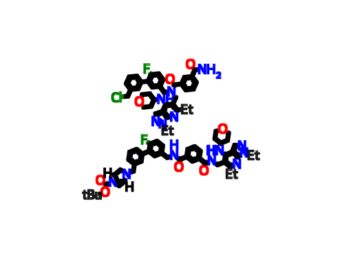 CCc1nc2c(cnn2CC)c(NC2CCOCC2)c1CN(Cc1ccc(F)c(-c2cccc(CCl)c2)c1)C(=O)c1cccc(C(N)=O)c1.CCc1nc2c(cnn2CC)c(NC2CCOCC2)c1CNC(=O)c1cccc(C(=O)NCc2ccc(F)c(-c3cccc(CN4C[C@@H]5C[C@H]4CN5C(=O)OC(C)(C)C)c3)c2)c1